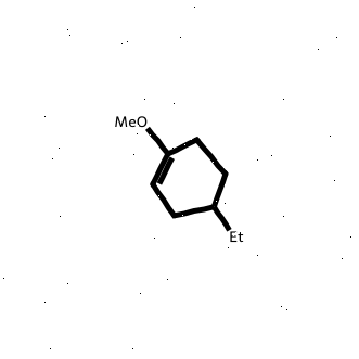 CCC1CC=C(OC)CC1